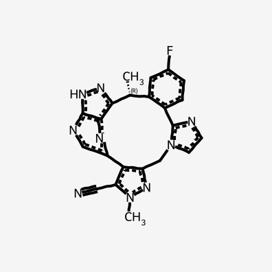 C[C@@H]1c2cc(F)ccc2-c2nccn2Cc2nn(C)c(C#N)c2-c2cnc3[nH]nc1c3n2